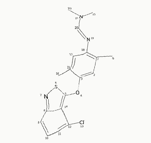 Cc1cc(Oc2snc3cccc(Cl)c23)c(C)cc1N=CN(C)C